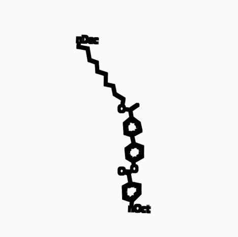 CCCCCCCCCCCCCCCCCCCCOC(C)c1ccc(-c2ccc(OC(=O)c3ccc(CCCCCCCC)cc3)cc2)cc1